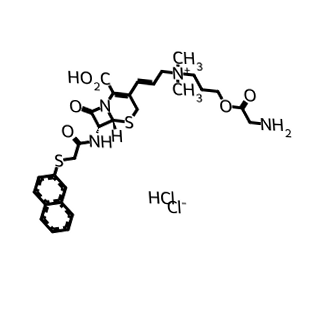 C[N+](C)(CC=CC1=C(C(=O)O)N2C(=O)[C@@H](NC(=O)CSc3ccc4ccccc4c3)[C@H]2SC1)CCCOC(=O)CN.Cl.[Cl-]